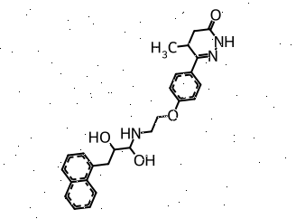 CC1CC(=O)NN=C1c1ccc(OCCNC(O)C(O)Cc2cccc3ccccc23)cc1